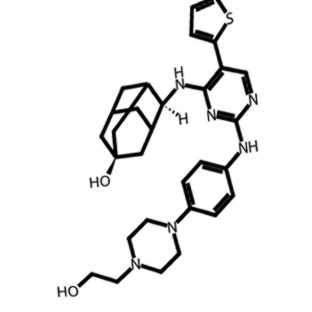 OCCN1CCN(c2ccc(Nc3ncc(-c4cccs4)c(N[C@H]4C5CC6CC4C[C@@](O)(C6)C5)n3)cc2)CC1